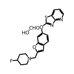 FC1CCN(Cc2cc3ccc(Oc4nc5ncccc5s4)cc3o2)CC1.O=CO